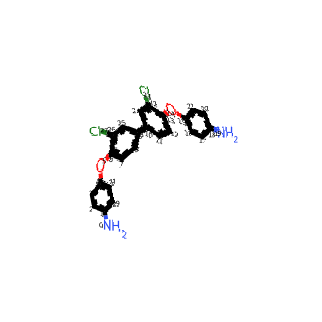 Nc1ccc(Oc2ccc(-c3ccc(Oc4ccc(N)cc4)c(Cl)c3)cc2Cl)cc1